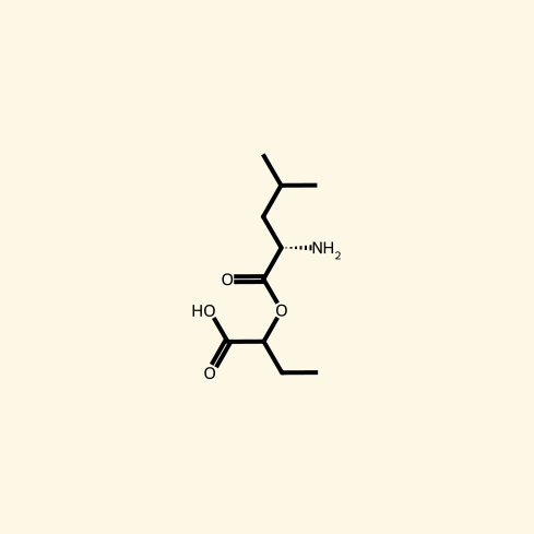 CCC(OC(=O)[C@@H](N)CC(C)C)C(=O)O